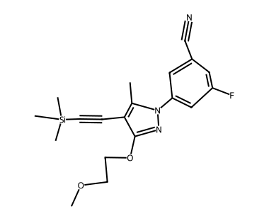 COCCOc1nn(-c2cc(F)cc(C#N)c2)c(C)c1C#C[Si](C)(C)C